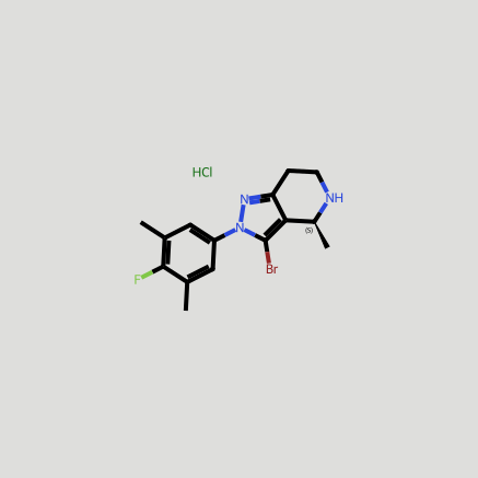 Cc1cc(-n2nc3c(c2Br)[C@H](C)NCC3)cc(C)c1F.Cl